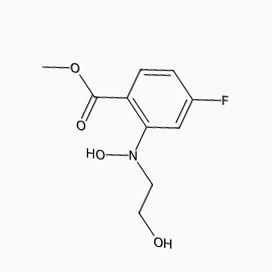 COC(=O)c1ccc(F)cc1N(O)CCO